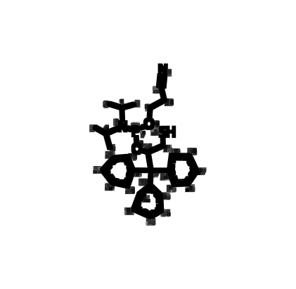 CC(C)N(C(C)C)[P@@](OCCC#N)OC(CS)C(c1ccccc1)(c1ccccc1)c1ccccc1